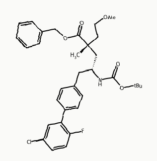 COCC[C@](C)(C[C@@H](Cc1ccc(-c2cc(Cl)ccc2F)cc1)NC(=O)OC(C)(C)C)C(=O)OCc1ccccc1